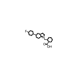 O=C(O)c1ccccc1Cn1ccc2cc(-c3ccc(F)cc3)ccc21